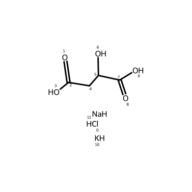 Cl.O=C(O)CC(O)C(=O)O.[KH].[NaH]